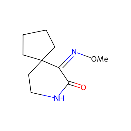 CON=C1C(=O)NCCC12CCCC2